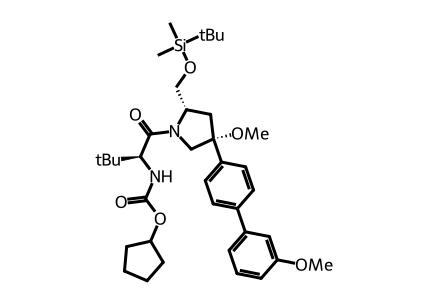 COc1cccc(-c2ccc([C@]3(OC)C[C@@H](CO[Si](C)(C)C(C)(C)C)N(C(=O)[C@@H](NC(=O)OC4CCCC4)C(C)(C)C)C3)cc2)c1